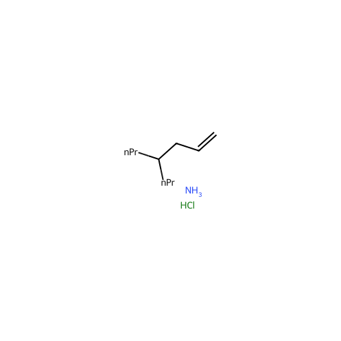 C=CCC(CCC)CCC.Cl.N